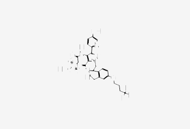 Cc1ccc(-c2nn3c(c2NC(=O)CS(C)(=O)=O)C(=O)N[C@]2(CCc4cc(OCCCC(F)(F)F)ccc42)C3)nc1